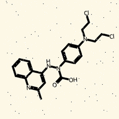 Cc1cc(NN(C(=O)O)c2ccc(N(CCCl)CCCl)cc2)c2ccccc2n1